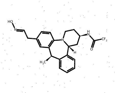 C[C@@H]1c2ccccc2[C@H]2C[C@H](NC(=O)C(F)(F)F)CCN2c2ccc(CC=NO)cc21